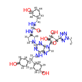 CCn1nnc([C@H]2O[C@@H](n3cnc4c(NCC(c5ccc(O)cc5)c5ccc(O)cc5)nc(N5CC[C@H](NC(=O)NCc6cccc(O)c6)C5)nc43)[C@H](O)[C@@H]2O)n1